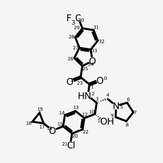 O=C(N[C@H](CN1CCCC1)[C@H](O)c1ccc(OC2CC2)c(Cl)c1)C(=O)c1cc2cc(C(F)(F)F)ccc2o1